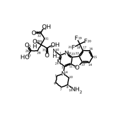 Nc1nc(N2CCC[C@H](N)C2)c2oc3cccc(C(F)(F)F)c3c2n1.O=C(O)CC(O)(CC(=O)O)C(=O)O